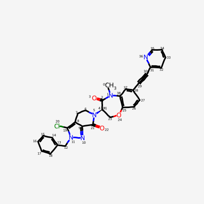 CN1C(=O)[C@H](N2CCc3c(nn(Cc4ccccc4)c3Cl)C2=O)COc2ccc(C#Cc3ccccn3)cc21